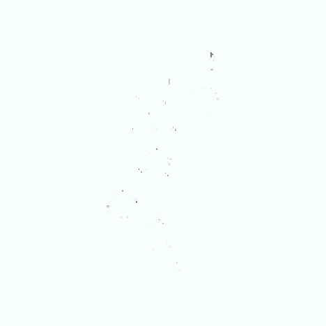 Cc1c(C#N)cccc1-c1nc(N)c(F)c(/C(=C/NCc2cccc(C3CCN(C=O)CC34CC4)n2)N=N)n1